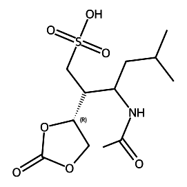 CC(=O)NC(CC(C)C)C(CS(=O)(=O)O)[C@@H]1COC(=O)O1